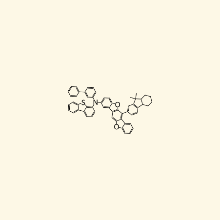 CC1(C)c2cc(-c3c4oc5ccc(N(c6cccc(-c7ccccc7)c6)c6cccc7c6sc6ccccc67)cc5c4cc4oc5ccccc5c34)ccc2C2CCCCC21